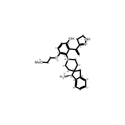 C=C(C1=NNCC1)c1c(O)ccc(OCCOC)c1N1CCC2(CC1)Cc1ccccc1[C@H]2N